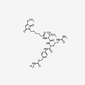 CNC(=O)OCc1ccc(NC(=O)[C@H](CCCNC(N)=O)NC(=O)[C@@H](NC(=O)CCCCCN2C(=O)C=C(SC)C2=O)C(C)C)cc1